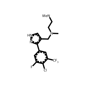 CNCCN(C)Cc1c[nH]nc1-c1cc(F)c(Cl)c(C(F)(F)F)c1